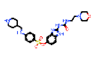 O=C(NCCN1CCOCC1)Nc1nc2cc(OS(=O)(=O)c3ccc(NCC4CCNCC4)cc3)ccc2[nH]1